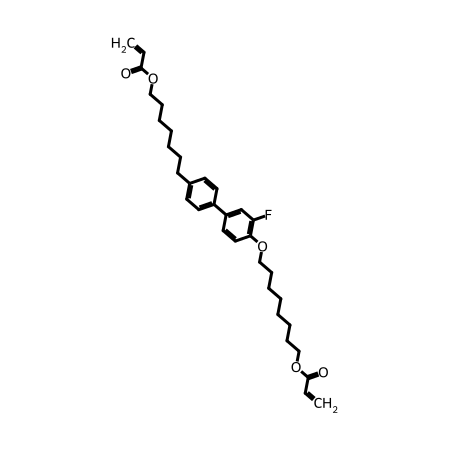 C=CC(=O)OCCCCCCCCOc1ccc(-c2ccc(CCCCCCCOC(=O)C=C)cc2)cc1F